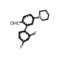 O=Cc1ccc(N2CCCCC2)cc1-c1ccc(F)cc1F